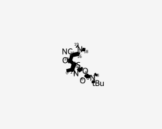 Cc1nc(OC(=O)N(C)C(C)(C)C)sc1C(=O)C(C#N)=CN(C)C